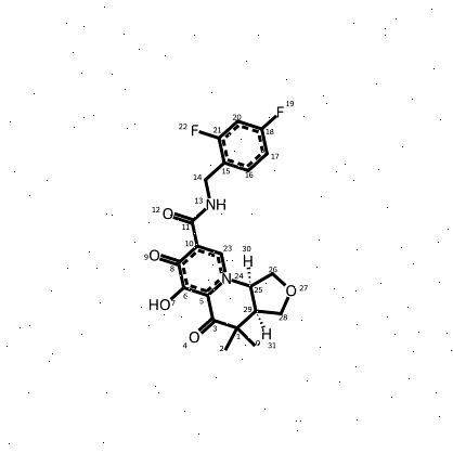 CC1(C)C(=O)c2c(O)c(=O)c(C(=O)NCc3ccc(F)cc3F)cn2[C@H]2COC[C@H]21